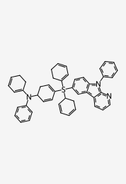 C1=CCCC(N(c2ccccc2)C2C=CC(S(C3=CC=CCC3)(c3ccc4c(c3)c3cccnc3n4-c3ccccc3)C3C=CC=CC3)=CC2)=C1